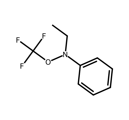 CCN(OC(F)(F)F)c1ccccc1